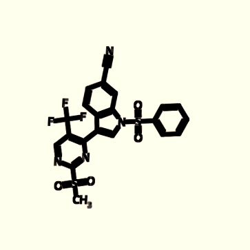 CS(=O)(=O)c1ncc(C(F)(F)F)c(-c2cn(S(=O)(=O)c3ccccc3)c3cc(C#N)ccc23)n1